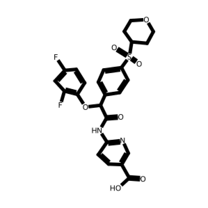 O=C(O)c1ccc(NC(=O)C(Oc2ccc(F)cc2F)c2ccc(S(=O)(=O)C3CCOCC3)cc2)nc1